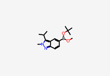 COB(OC(C)(C)C)c1ccc2nn(C)c(C(C)C)c2c1